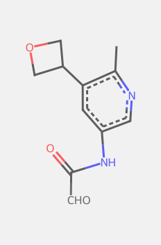 Cc1ncc(NC(=O)C=O)cc1C1COC1